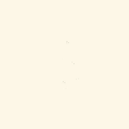 CCNC(=O)c1nc(-c2nccs2)sc1C1CC1